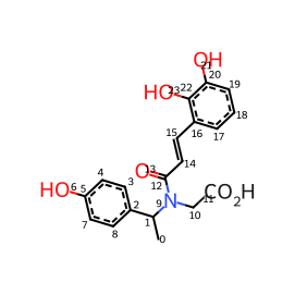 CC(c1ccc(O)cc1)N(CC(=O)O)C(=O)C=Cc1cccc(O)c1O